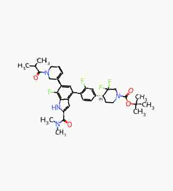 CC(C)C(=O)N1CCC=C(c2cc(-c3ccc([C@H]4CCN(C(=O)OC(C)(C)C)CC4(F)F)cc3F)c3cc(C(=O)N(C)C)[nH]c3c2F)C1